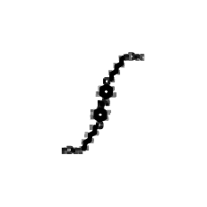 CCCCCCCCCCCCCCCCOc1ccc(N=Nc2ccc(OCCCCCCCCCCCCCCCC)cc2)cc1